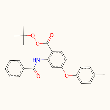 Cc1ccc(Oc2ccc(C(=O)OOC(C)(C)C)c(NC(=O)c3ccccc3)c2)cc1